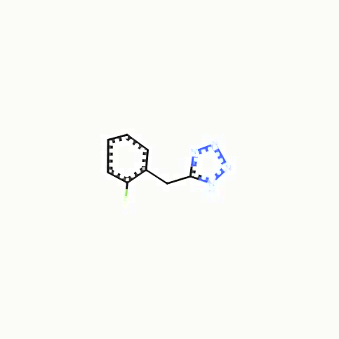 Fc1ccccc1[CH]c1nnn[nH]1